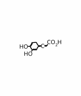 O=C(O)C=C=C1C=C(O)C(O)=CC1